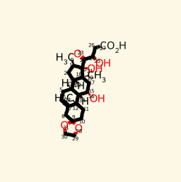 C[C@@H]1C[C@H]2[C@@H]3CC=C4CC5(CC[C@]4(C)[C@H]3[C@H](O)C[C@]2(C)[C@@]1(O)C(=O)C(O)CC(=O)O)OCCO5